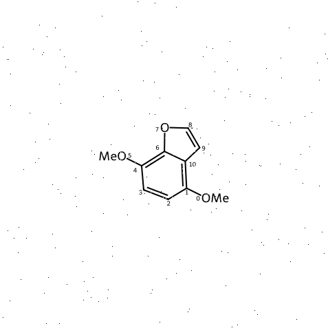 COc1ccc(OC)c2o[c]cc12